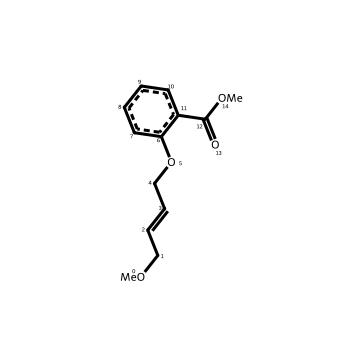 COCC=CCOc1ccccc1C(=O)OC